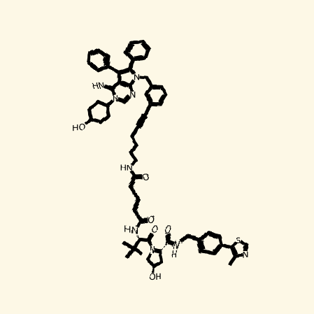 Cc1ncsc1-c1ccc(CNC(=O)[C@@H]2C[C@@H](O)CN2C(=O)[C@@H](NC(=O)CCCC(=O)NCCCCC#Cc2cccc(Cn3c(-c4ccccc4)c(-c4ccccc4)c4c(=N)n(C5CCC(O)CC5)cnc43)c2)C(C)(C)C)cc1